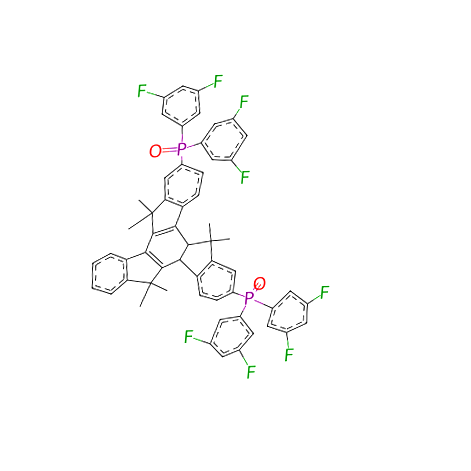 CC1(C)C2=C(c3ccc(P(=O)(c4cc(F)cc(F)c4)c4cc(F)cc(F)c4)cc31)C1C(C3=C2c2ccccc2C3(C)C)c2ccc(P(=O)(c3cc(F)cc(F)c3)c3cc(F)cc(F)c3)cc2C1(C)C